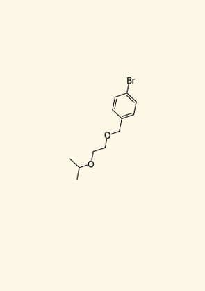 CC(C)OCCOCc1ccc(Br)cc1